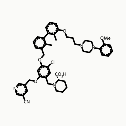 COc1ccccc1N1CCN(CCCOc2cccc(-c3cccc(COc4cc(OCc5cncc(C#N)c5)c(CN5CCCC[C@H]5C(=O)O)cc4Cl)c3C)c2C)CC1